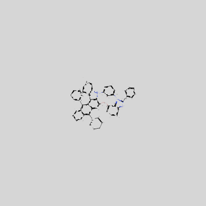 CC(C)(C)c1ccc2c3c4c(-c5ccccc5)c5ccccc5c(C5=CCCC=C5)c4cc4c3n(c2c1)-c1cccc2c1B4c1cccc3nc(-c4ccccc4)n-2c13